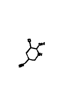 OC1NCC(Br)CC1Cl